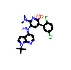 CN(C)c1nc(O)c(-c2cc(Cl)ccc2F)cc1Nc1ccnc2c1ccn2C(C)(C)C